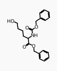 O=C(NC(CCCCO)C(=O)OCc1ccccc1)OCc1ccccc1